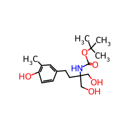 Cc1cc(CCC(CO)(CO)NC(=O)OC(C)(C)C)ccc1O